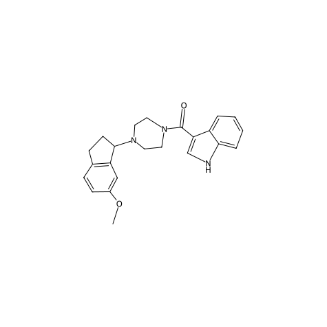 COc1ccc2c(c1)C(N1CCN(C(=O)c3c[nH]c4ccccc34)CC1)CC2